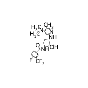 Cc1cnc(N[C@H]2CC[C@@H](NC(=O)c3ccc(F)c(C(F)(F)F)c3)CC2)cc1N(C)C.Cl